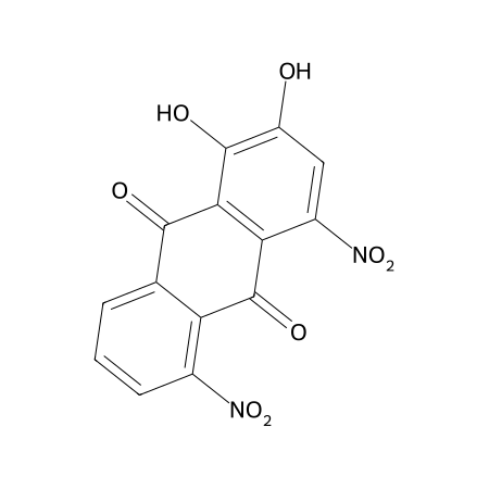 O=C1c2c(cccc2[N+](=O)[O-])C(=O)c2c(O)c(O)cc([N+](=O)[O-])c21